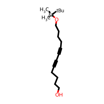 CC(C)(C)[Si](C)(C)OCCCCC#CC#CCCCCO